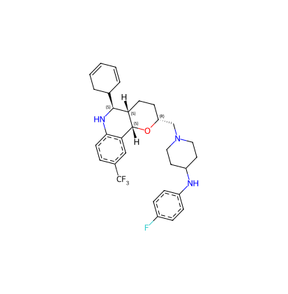 Fc1ccc(NC2CCN(C[C@H]3CC[C@@H]4[C@H](O3)c3cc(C(F)(F)F)ccc3N[C@H]4C3C=CC=CC3)CC2)cc1